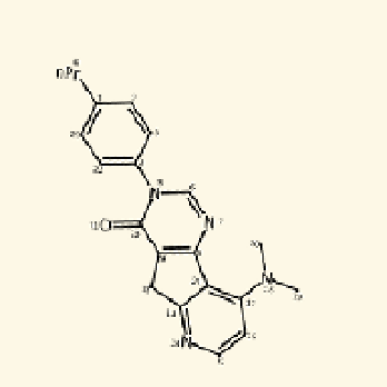 CCCc1ccc(-n2cnc3c(c2=O)Cc2nccc(N(C)C)c2-3)cc1